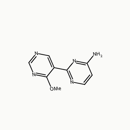 COc1ncncc1-c1nccc(N)n1